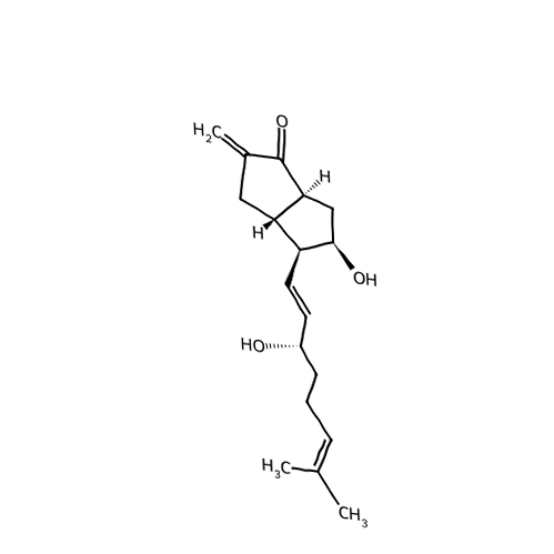 C=C1C[C@H]2[C@H](/C=C/[C@@H](O)CCC=C(C)C)[C@H](O)C[C@@H]2C1=O